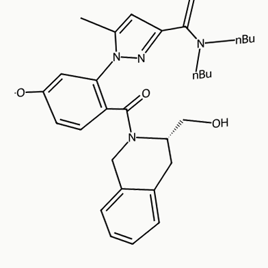 CCCCN(CCCC)C(=O)c1cc(C)n(-c2cc([O])ccc2C(=O)N2Cc3ccccc3C[C@H]2CO)n1